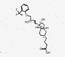 O=C(O)CCC[C@H]1CC[C@@H]2[C@@H](/C=C/[C@@H](O)COc3ccccc3C(F)(F)F)[C@H](O)C[C@@H]2S1